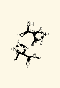 COC(=O)c1snnc1C.Cc1nnsc1C(=O)O